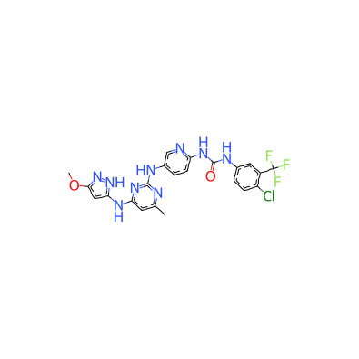 COc1cc(Nc2cc(C)nc(Nc3ccc(NC(=O)Nc4ccc(Cl)c(C(F)(F)F)c4)nc3)n2)[nH]n1